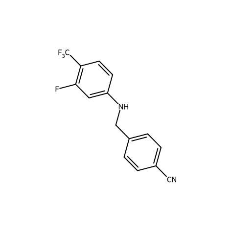 N#Cc1ccc(CNc2ccc(C(F)(F)F)c(F)c2)cc1